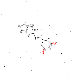 O=C1CC(=O)CC(/C=C/c2ccc3c(c2)CCC3)C1